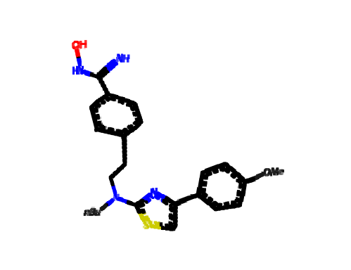 CCCCN(CCc1ccc(C(=N)NO)cc1)c1nc(-c2ccc(OC)cc2)cs1